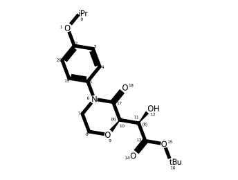 CC(C)Oc1ccc(N2CCO[C@H]([C@@H](O)C(=O)OC(C)(C)C)C2=O)cc1